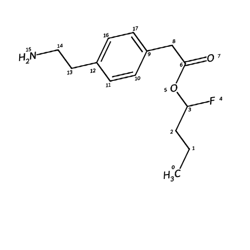 CCCC(F)OC(=O)Cc1ccc(CCN)cc1